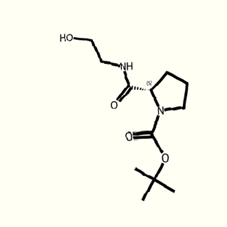 CC(C)(C)OC(=O)N1CCC[C@H]1C(=O)NCCO